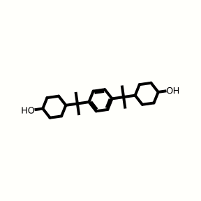 CC(C)(c1ccc(C(C)(C)C2CCC(O)CC2)cc1)C1CCC(O)CC1